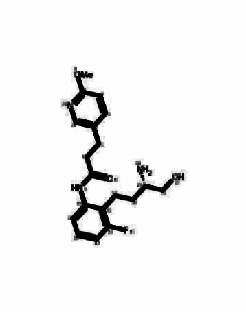 COc1ccc(CCC(=O)Nc2cccc(F)c2CC[C@H](N)CO)cn1